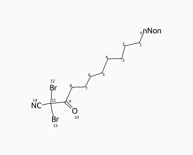 CCCCCCCCCCCCCCCCCC(=O)C(Br)(Br)C#N